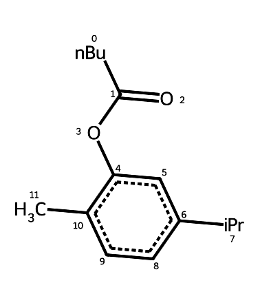 CCCCC(=O)Oc1cc(C(C)C)ccc1C